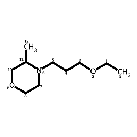 CCOCCCN1CCOCC1C